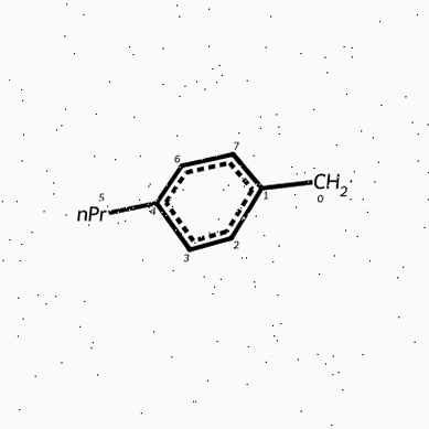 [CH2]c1ccc(CCC)cc1